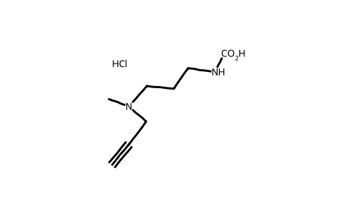 C#CCN(C)CCCNC(=O)O.Cl